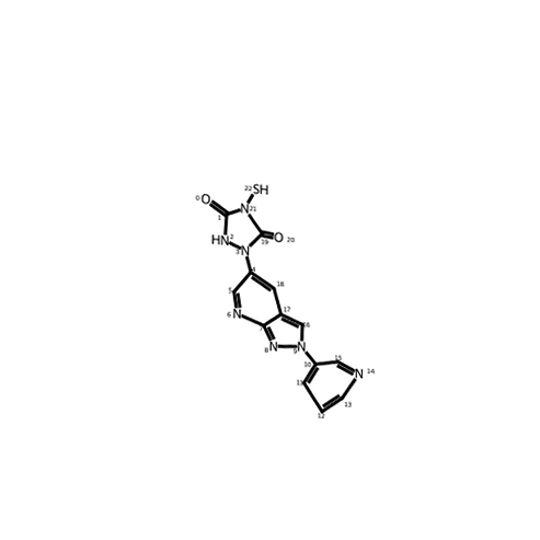 O=c1[nH]n(-c2cnc3nn(-c4cccnc4)cc3c2)c(=O)n1S